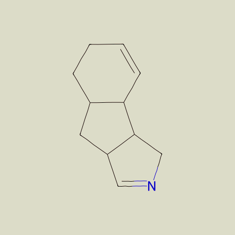 C1=CC2C(CC1)CC1C=NCC12